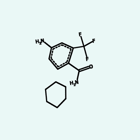 C1CCCCC1.NC(=O)c1ccc(N)cc1C(F)(F)F